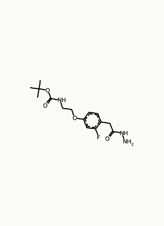 CC(C)(C)OC(=O)NCCOc1ccc(CC(=O)NN)c(F)c1